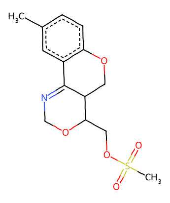 Cc1ccc2c(c1)C1=NCOC(COS(C)(=O)=O)C1CO2